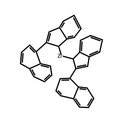 C1=C(c2cccc3ccccc23)[CH]([Zr][CH]2C(c3cccc4ccccc34)=Cc3ccccc32)c2ccccc21